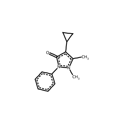 Cc1c(C2CC2)c(=O)n(-c2ccccc2)n1C